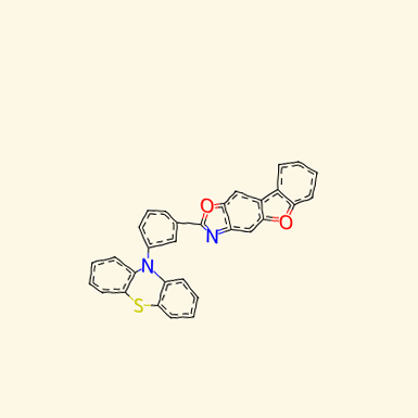 c1cc(-c2nc3cc4oc5ccccc5c4cc3o2)cc(N2c3ccccc3Sc3ccccc32)c1